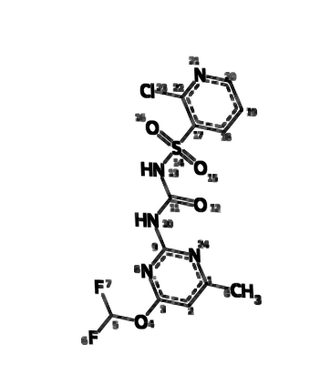 Cc1cc(OC(F)F)nc(NC(=O)NS(=O)(=O)c2cccnc2Cl)n1